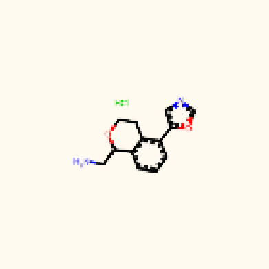 Cl.NCC1OCCc2c(-c3cnco3)cccc21